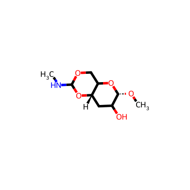 CNC1OCC2O[C@H](OC)C(O)C[C@@H]2O1